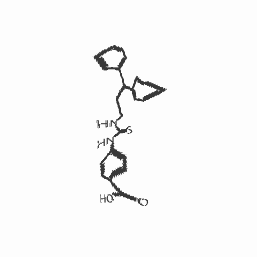 O=C(O)c1ccc(NC(=S)NCCC(c2ccccc2)c2ccccc2)cc1